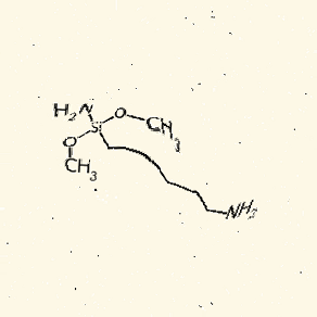 CO[Si](N)(CCCCCN)OC